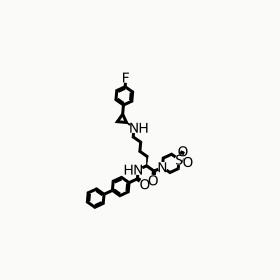 O=C(N[C@@H](CCCCN[C@H]1CC1c1ccc(F)cc1)C(=O)N1CCS(=O)(=O)CC1)c1ccc(-c2ccccc2)cc1